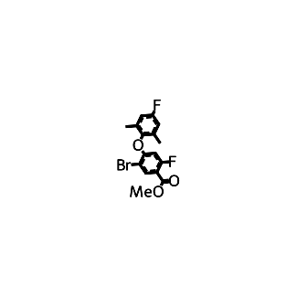 COC(=O)c1cc(Br)c(Oc2c(C)cc(F)cc2C)cc1F